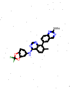 CNc1ncc2cc(-c3c(C)ccc4c(Nc5ccc6c(c5)OC(F)(F)O6)ncnc34)ccc2n1